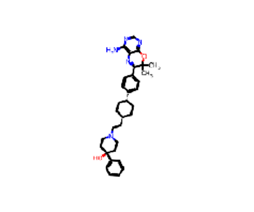 CC1(C)Oc2ncnc(N)c2N=C1c1ccc([C@H]2CC[C@H](CCN3CCC(O)(c4ccccc4)CC3)CC2)cc1